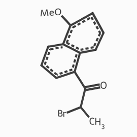 COc1cccc2c(C(=O)C(C)Br)cccc12